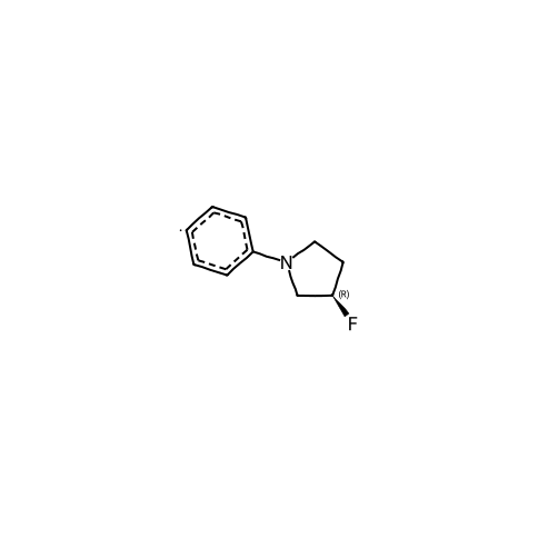 F[C@@H]1CCN(c2cc[c]cc2)C1